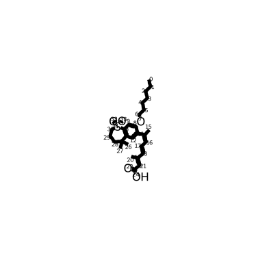 CCCCCCCOc1cc2c(cc1\C(C)=C/C=C/C(C)=C/C(=O)O)C(C)(C)CCCS2(=O)=O